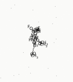 COC(=O)CCCCCOc1ccc(Nc2c(C(N)=O)c(-c3ccc(NS(=O)(=O)C(F)F)c(O[C@@H](C)c4ccc(F)cc4)c3)nn2COCC[Si](C)(C)C)nc1